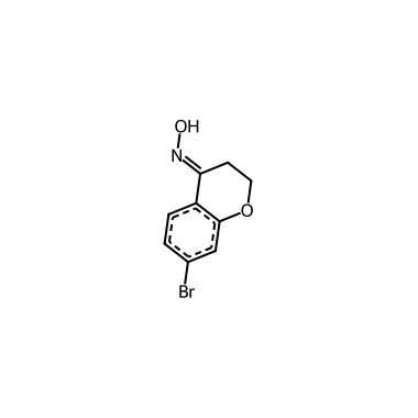 O/N=C1\CCOc2cc(Br)ccc21